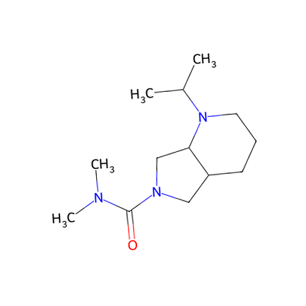 CC(C)N1CCCC2CN(C(=O)N(C)C)CC21